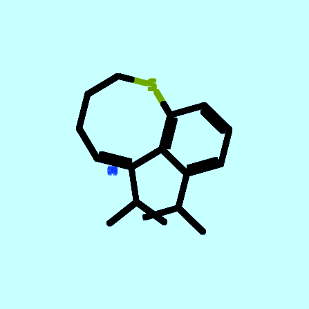 CC(C)/C1=C/CCCSc2cccc(C(C)C)c21